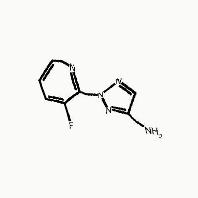 Nc1cnn(-c2ncccc2F)n1